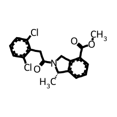 COC(=O)c1cccc2c1CN(C(=O)Cc1c(Cl)cccc1Cl)[C@H]2C